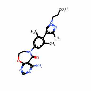 Cc1cc(N2CCOc3ncnc(N)c3C2=O)cc(C)c1-c1cn(CCC(=O)O)nc1C